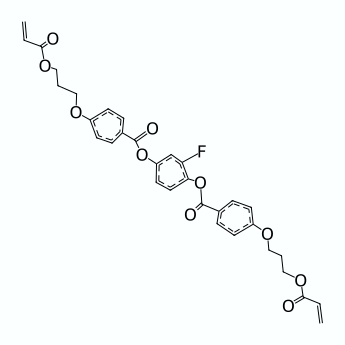 C=CC(=O)OCCCOc1ccc(C(=O)Oc2ccc(OC(=O)c3ccc(OCCCOC(=O)C=C)cc3)c(F)c2)cc1